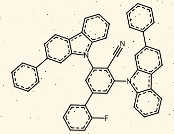 N#Cc1c(-n2c3ccccc3c3ccc(-c4ccccc4)cc32)cc(-c2ccccc2F)cc1-n1c2ccccc2c2ccc(-c3ccccc3)cc21